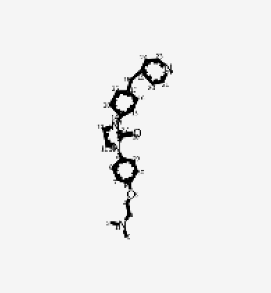 CN(C)CCOc1ccc(-n2ccn(-c3ccc(Cc4ccncc4)cc3)c2=O)cc1